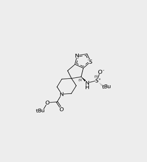 CC(C)(C)OC(=O)N1CCC2(CC1)Cc1ncsc1[C@H]2N[S@+]([O-])C(C)(C)C